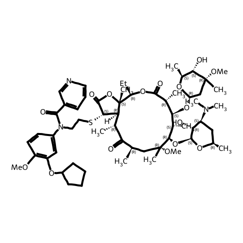 CC[C@H]1OC(=O)[C@H](C)[C@@H](O[C@H]2C[C@@](C)(OC)[C@@H](O)[C@H](C)O2)[C@H](C)[C@@H](O[C@@H]2O[C@H](C)C[C@H](N(C)C)[C@H]2O)[C@](C)(OC)C[C@@H](C)C(=O)[C@H](C)[C@H]2[C@H](SCCN(C(=O)c3cccnc3)c3ccc(OC)c(OC4CCCC4)c3)C(=O)O[C@@]21C